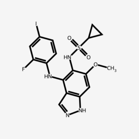 COc1cc2[nH]ncc2c(Nc2ccc(I)cc2F)c1NS(=O)(=O)C1CC1